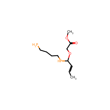 CC=CC(OCC(=O)OC)PCCCCP